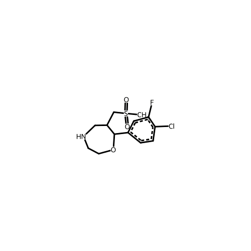 CS(=O)(=O)CC1CNCCOC1c1ccc(Cl)c(F)c1